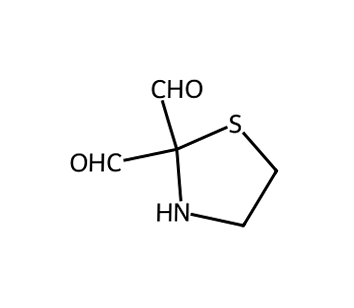 O=CC1(C=O)NCCS1